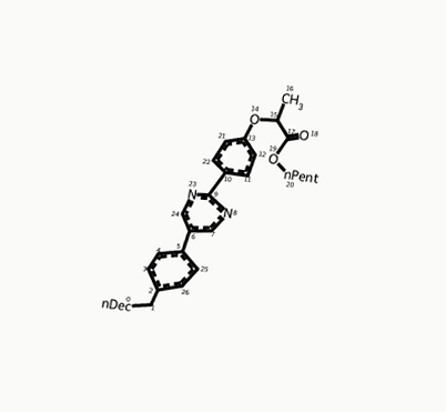 CCCCCCCCCCCc1ccc(-c2cnc(-c3ccc(OC(C)C(=O)OCCCCC)cc3)nc2)cc1